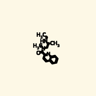 CCN[C@H](C)CN(C)C(=O)c1ccc2ccccc2n1